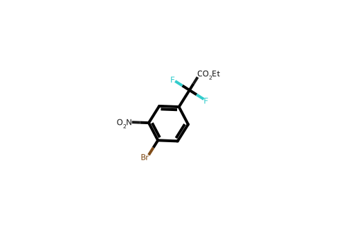 CCOC(=O)C(F)(F)c1ccc(Br)c([N+](=O)[O-])c1